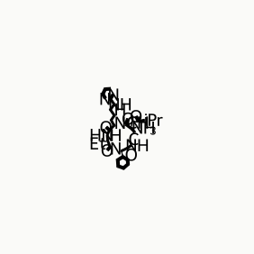 CC[C@@H]1NC(=O)C(CCCNc2ncccn2)NC(=O)[C@](C)(NC(=O)C(C)C)CCNC(=O)[C@@H](c2ccccc2)NC1=O